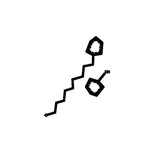 Oc1ccccc1.[O]CCCCCCCCCc1ccccc1